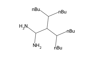 CCCCC(CCCC)C(C(N)N)C(CCCC)CCCC